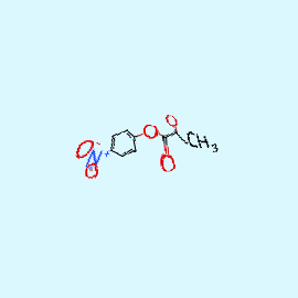 CCC(=O)C(=O)Oc1ccc([N+](=O)[O-])cc1